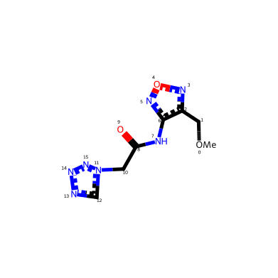 COCc1nonc1NC(=O)Cn1cnnn1